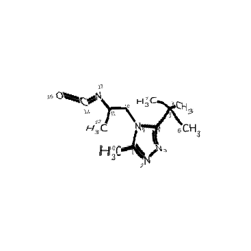 Cc1nnc(C(C)(C)C)n1CC(C)N=C=O